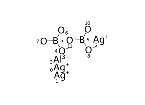 [Ag+].[Ag+].[Ag+].[Al+3].[O-]B([O-])[O-].[O-]B([O-])[O-]